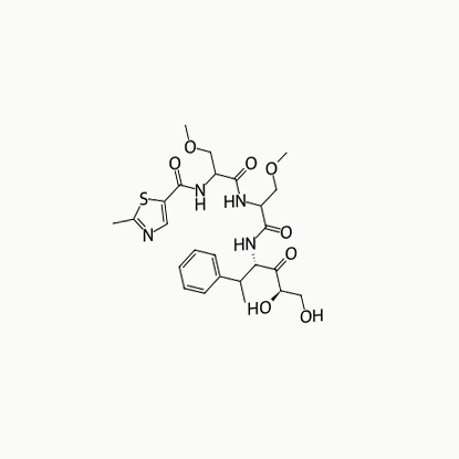 COCC(NC(=O)c1cnc(C)s1)C(=O)NC(COC)C(=O)N[C@H](C(=O)[C@H](O)CO)C(C)c1ccccc1